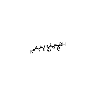 N#CCCCCOC(=O)CCCC(=O)O